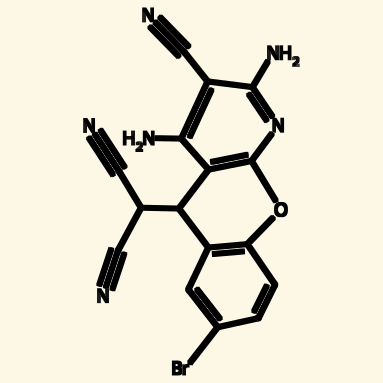 N#Cc1c(N)nc2c(c1N)C(C(C#N)C#N)c1cc(Br)ccc1O2